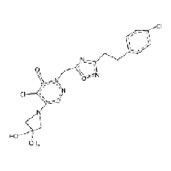 CC1(O)CN(c2cnn(Cc3nc(CCc4ccc(Cl)cc4)no3)c(=O)c2Cl)C1